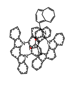 C1=CC2=CC=CC(c3cccc(-n4c5ccccc5c5ccc6c7ccccc7n(-c7cccc(-n8c9ccccc9c9ccc%10c%11ccccc%11n(-c%11cccc(-c%12cccc%13ccccc%12%13)n%11)c%10c98)c7)c6c54)n3)=C(C=C1)C2